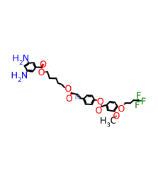 COc1cc(C(=O)Oc2ccc(/C=C/C(=O)OCCCCCCOC(=O)c3cc(N)cc(N)c3)cc2)ccc1OCCCC(F)(F)F